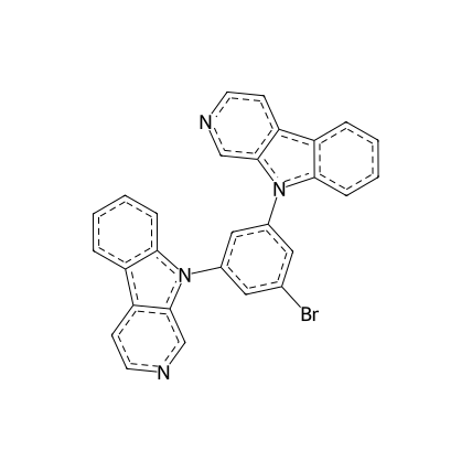 Brc1cc(-n2c3ccccc3c3ccncc32)cc(-n2c3ccccc3c3ccncc32)c1